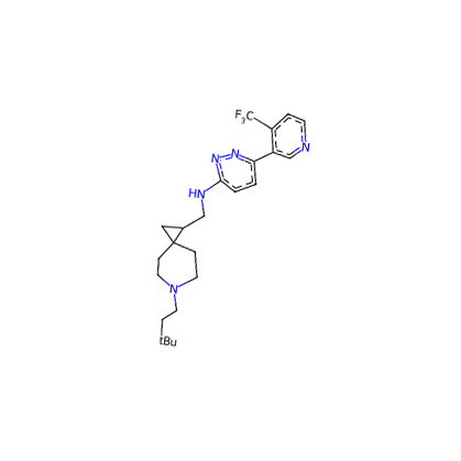 CC(C)(C)CCN1CCC2(CC1)CC2CNc1ccc(-c2cnccc2C(F)(F)F)nn1